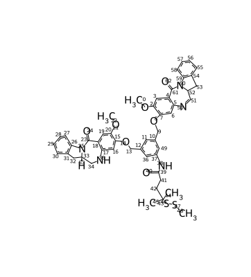 COc1cc2c(cc1OCc1cc(COc3cc4c(cc3OC)C(=O)N3c5ccccc5C[C@H]3CN4)cc(NC(=O)CCC(C)(C)SSC)c1)N=CC1Cc3ccccc3N1C2=O